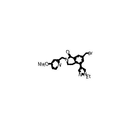 CCn1cc(-c2cc(CBr)cc3c2CCN(Cc2cc(OC)ccn2)C3=O)cn1